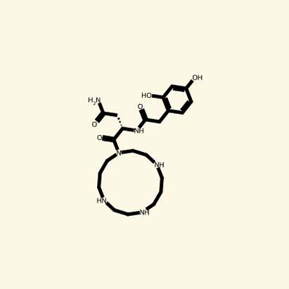 NC(=O)C[C@H](NC(=O)Cc1ccc(O)cc1O)C(=O)N1CCCNCCNCCCNCC1